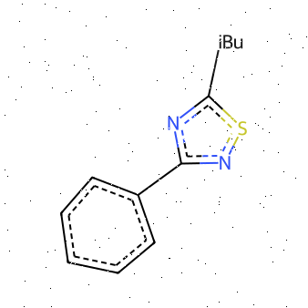 CCC(C)c1nc(-c2ccccc2)ns1